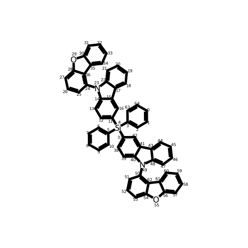 c1ccc([Si](c2ccccc2)(c2ccc3c(c2)c2ccccc2n3-c2cccc3oc4ccccc4c23)c2ccc3c(c2)c2ccccc2n3-c2cccc3oc4ccccc4c23)cc1